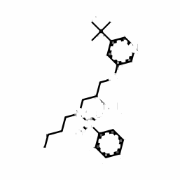 CCCCN(C[C@H](N)COc1cncc(C(C)(C)C)c1)S(=O)(=O)c1ccccc1